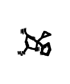 NC1=CC(N)=NC(C2CC2)(n2cccn2)N1